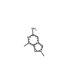 Cc1nc(N)cc2cn(C)nc12